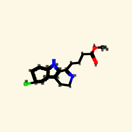 COC(=O)CCCC1=NCCc2c1[nH]c1ccc(Cl)cc21